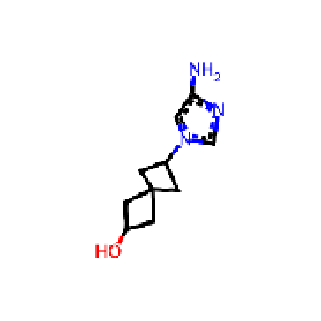 Nc1cn(C2CC3(CC(O)C3)C2)cn1